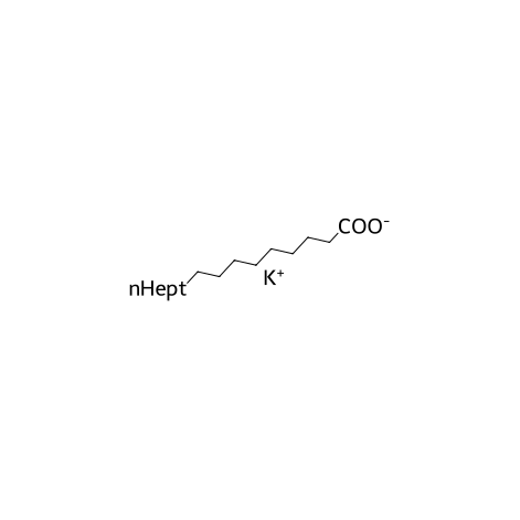 CCCCCCCCCCCCCCCC(=O)[O-].[K+]